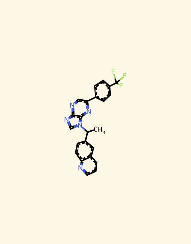 CC(c1ccc2ncccc2c1)n1cnc2ncc(-c3ccc(C(F)(F)F)cc3)nc21